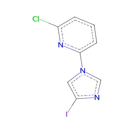 Clc1cccc(-n2cnc(I)c2)n1